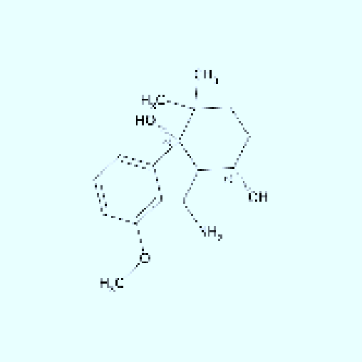 COc1cccc([C@]2(O)C(CN)[C@@H](O)CCC2(C)C)c1